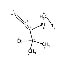 CC[N+](=C=N)C(C)(C)CC.CI